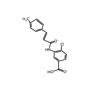 Cc1ccc(C=CC(=O)Nc2cc(C(=O)O)ccc2Cl)cc1